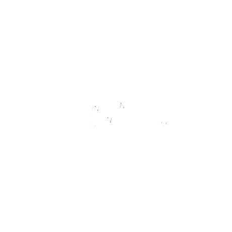 O=C(Cc1ccc2ccccc2c1)Nc1ncc(-c2ccc(O)cc2)nc1Cc1ccccc1